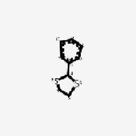 c1ccc([C]2SCCS2)cc1